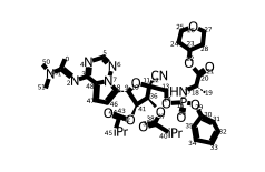 C/C(=N\c1ncnn2c([C@@H]3O[C@](C#N)(COP(=O)(N[C@@H](C)C(=O)OC4CCOCC4)Oc4ccccc4)[C@@H](OC(=O)C(C)C)[C@H]3OC(=O)C(C)C)ccc12)N(C)C